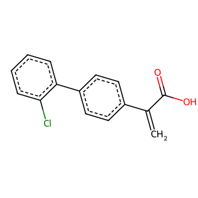 C=C(C(=O)O)c1ccc(-c2ccccc2Cl)cc1